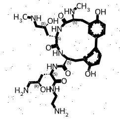 CNC[C@H](O)C[C@@H]1NC(=O)[C@@H](NC)Cc2cc(ccc2O)-c2ccc(O)c(c2)C[C@@H](C(=O)N[C@@H](C[C@@H](O)CN)C(=O)NCCN)NC1=O